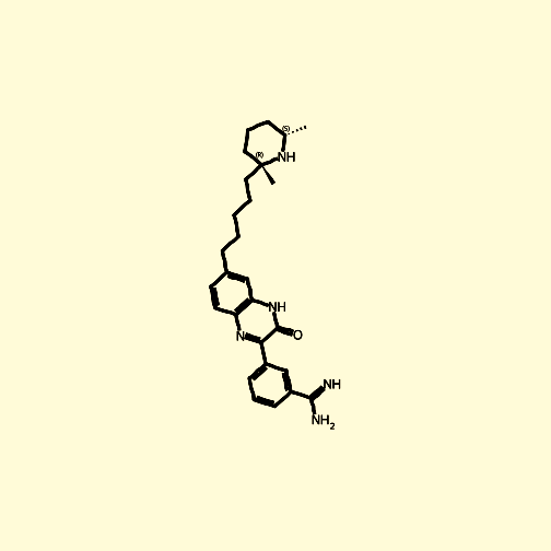 C[C@H]1CCC[C@@](C)(CCCCCc2ccc3nc(-c4cccc(C(=N)N)c4)c(=O)[nH]c3c2)N1